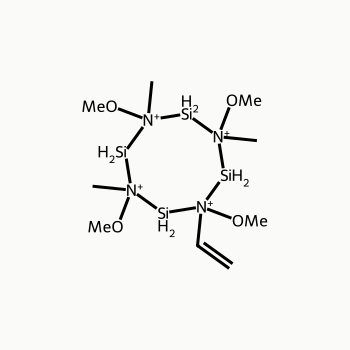 C=C[N+]1(OC)[SiH2][N+](C)(OC)[SiH2][N+](C)(OC)[SiH2][N+](C)(OC)[SiH2]1